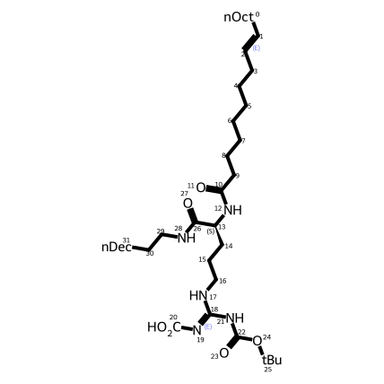 CCCCCCCC/C=C/CCCCCCCC(=O)N[C@@H](CCCN/C(=N\C(=O)O)NC(=O)OC(C)(C)C)C(=O)NCCCCCCCCCCCC